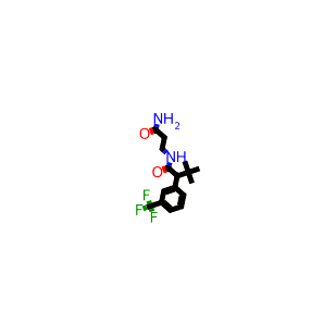 CC(C)(C)[C](C(=O)NCCC(N)=O)c1cccc(C(F)(F)F)c1